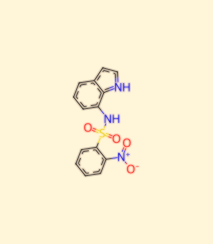 O=[N+]([O-])c1ccccc1S(=O)(=O)Nc1cccc2cc[nH]c12